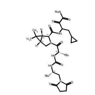 CNC(=O)C(=O)C(CC1CC1)NC(=O)[C@@H]1[C@@H]2[C@H](CN1C(=O)[C@@H](NC(=O)N[C@H](CN1C(=O)CCC1=O)C(C)(C)C)C(C)(C)C)C2(C)C